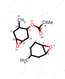 CC1CCC2OC2C1.COC(=O)OC1CC2OC2CC1C